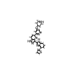 c1csc(-c2cccc3[nH]c(-c4n[nH]c5ccc(-c6cncc(OC7CCNCC7)c6)nc45)nc23)c1